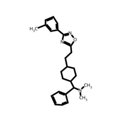 Cc1cccc(-c2noc(CCC3CCC(C(c4ccccc4)N(C)C)CC3)n2)c1